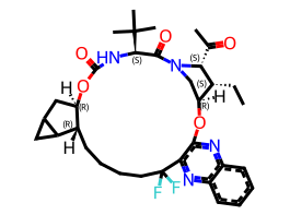 CC[C@@H]1[C@@H]2CN(C(=O)[C@H](C(C)(C)C)NC(=O)O[C@@H]3CC4CC4[C@H]3CCCCC(F)(F)c3nc4ccccc4nc3O2)[C@@H]1C(C)=O